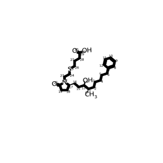 C[C@@H](CCCCCc1ccccc1)[C@H](O)CC[C@H]1CCC(=O)N1CCSCCCC(=O)O